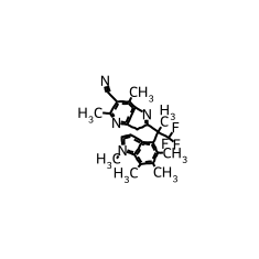 Cc1nc2c(c(C)c1C#N)N=C(C(C)(c1c(C)c(C)c(C)c3c1ccn3C)C(F)(F)F)C2